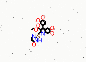 CCOC(=O)c1c(CSc2nccc(=O)[nH]2)nc2cc(OC)c(OC)cc2c1-c1ccc(OC)c(OC)c1